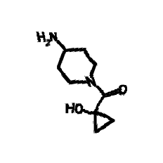 NC1CCN(C(=O)C2(O)CC2)CC1